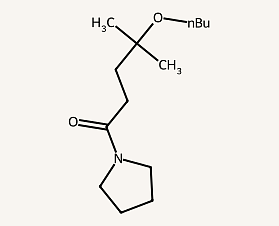 CCCCOC(C)(C)CCC(=O)N1CCCC1